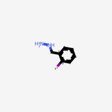 NNCc1ccccc1I